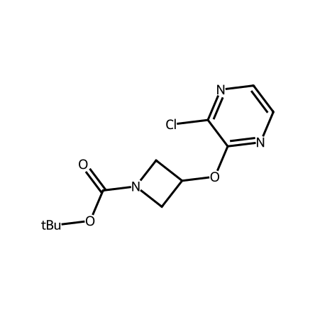 CC(C)(C)OC(=O)N1CC(Oc2nccnc2Cl)C1